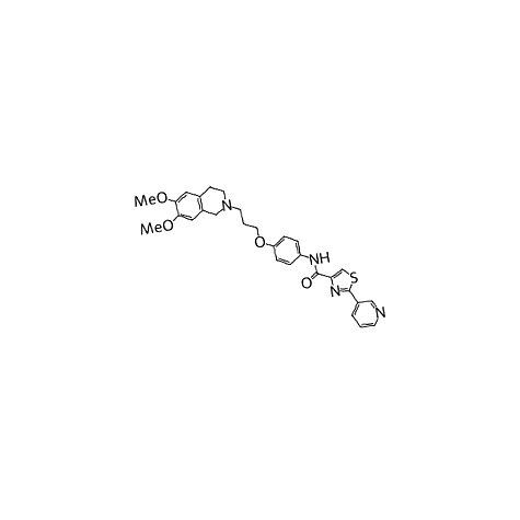 COc1cc2c(cc1OC)CN(CCCOc1ccc(NC(=O)c3csc(-c4cccnc4)n3)cc1)CC2